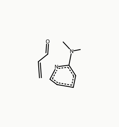 C=CC=O.CN(C)c1ccccn1